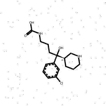 O=C(O)NCCCC(O)(c1cccc(Cl)c1)[C@@H]1CCCNC1